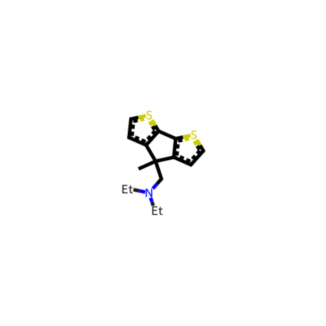 CCN(CC)CC1(C)c2ccsc2-c2sccc21